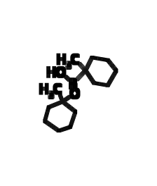 CC1(OB(O)C2(C)CCCCC2)CCCCC1